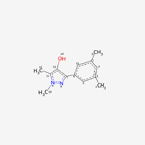 Cc1cc(C)cc(-c2nn(C)c(C)c2O)c1